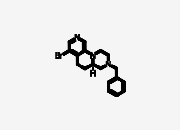 Brc1cncc2c1CC[C@@H]1CN(Cc3ccccc3)CCN21